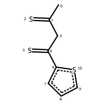 CC(=S)CC(=S)c1cccs1